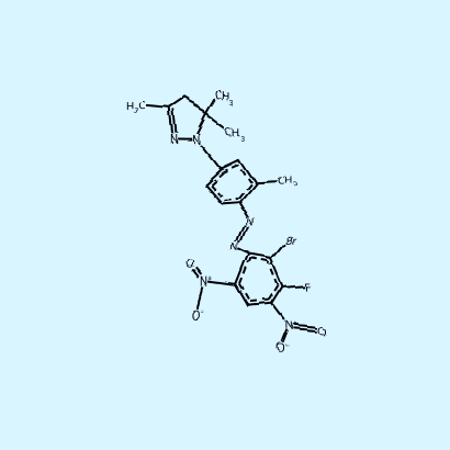 CC1=NN(c2ccc(/N=N/c3c([N+](=O)[O-])cc([N+](=O)[O-])c(F)c3Br)c(C)c2)C(C)(C)C1